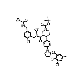 Cc1cc(Cl)c(O[C@@H]2CCN(c3ccc([C@H]4CCN(C(=O)OC(C)(C)C)C[C@@H]4C(=O)N(Cc4cc(CNC(=O)C5CC5)ccc4Cl)C4CC4)cn3)C2)c(Cl)c1